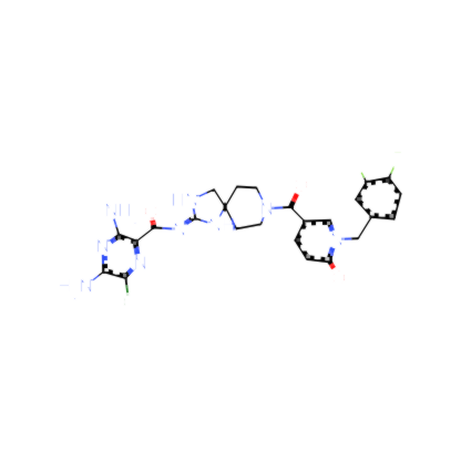 Nc1nc(N)c(C(=O)/N=C2\NCC3(CCN(C(=O)c4ccc(=O)n(Cc5ccc(F)c(F)c5)c4)CC3)N2)nc1Cl